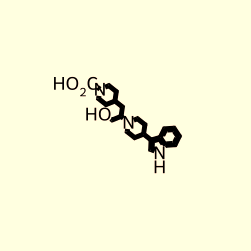 O=C(O)N1CCC(CC(CO)N2CCC(c3c[nH]c4ccccc34)CC2)CC1